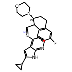 Fc1ccc2c(c1)CC[C@H](N1CCOCC1)C2/C=N\c1ncnc2[nH]c(C3CC3)cc12